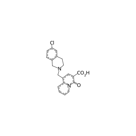 O=C(O)c1cc(CN2CCc3cc(Cl)ccc3C2)c2ccccn2c1=O